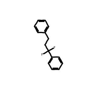 FC(F)(CCc1ccccc1)c1ccccc1